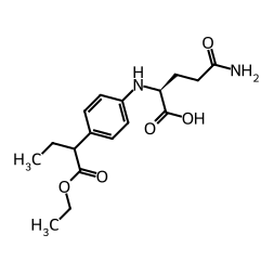 CCOC(=O)C(CC)c1ccc(N[C@@H](CCC(N)=O)C(=O)O)cc1